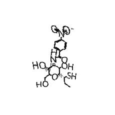 CCC(S)[C@@H]1OC(CO)[C@H](O)[C@H](NC(=O)c2ccc([N+](=O)[O-])cc2)C1O